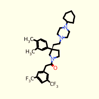 Cc1ccc([C@]2(CCN3CCN(C4CCCCC4)CC3)CCN(C(=O)Cc3cc(C(F)(F)F)cc(C(F)(F)F)c3)C2)cc1C